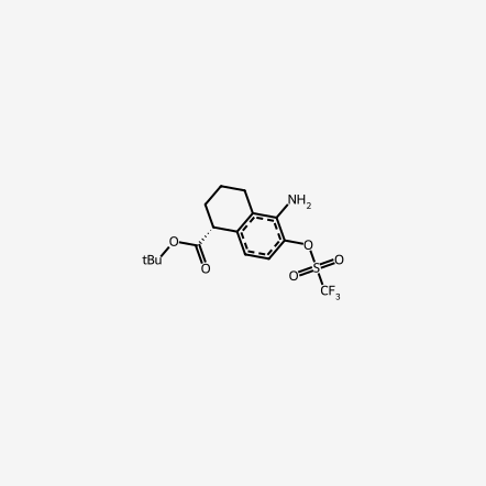 CC(C)(C)OC(=O)[C@@H]1CCCc2c1ccc(OS(=O)(=O)C(F)(F)F)c2N